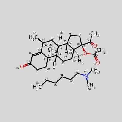 CC(=O)O[C@]1(C(C)=O)CC[C@H]2[C@@H]3C[C@H](C)C4=CC(=O)CC[C@]4(C)[C@H]3CC[C@@]21C.CCCCCCN(C)C